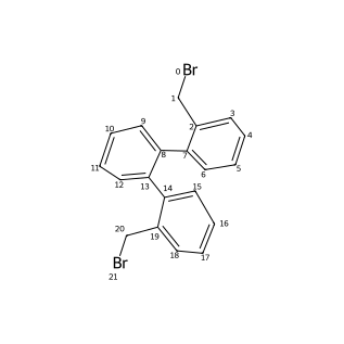 BrCc1ccccc1-c1ccccc1-c1ccccc1CBr